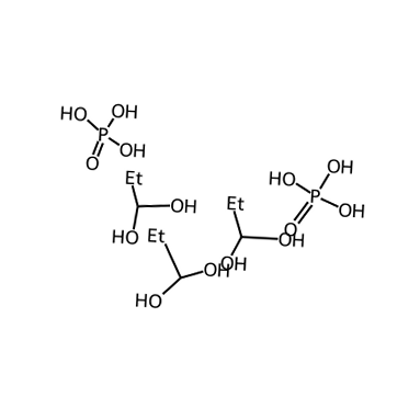 CCC(O)O.CCC(O)O.CCC(O)O.O=P(O)(O)O.O=P(O)(O)O